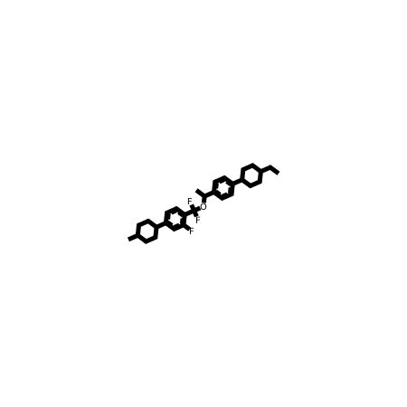 CCC1CCC(c2ccc(C(C)OC(F)(F)c3ccc(C4CCC(C)CC4)cc3F)cc2)CC1